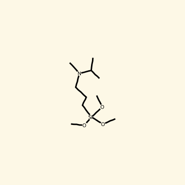 CO[Si](CCCN(C)C(C)C)(OC)OC